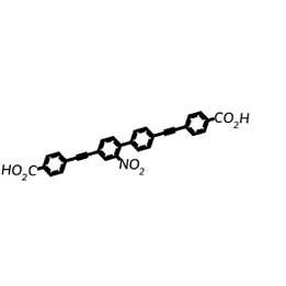 O=C(O)c1ccc(C#Cc2ccc(-c3ccc(C#Cc4ccc(C(=O)O)cc4)cc3[N+](=O)[O-])cc2)cc1